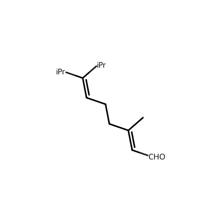 C/C(=C\C=O)CCC=C(C(C)C)C(C)C